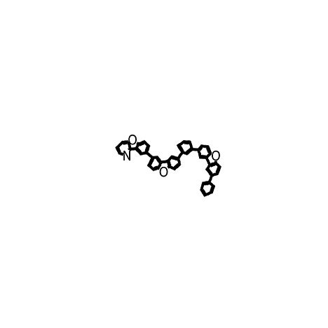 c1ccc(-c2ccc3oc4ccc(-c5cccc(-c6ccc7oc8ccc(-c9ccc%10oc%11cccnc%11c%10c9)cc8c7c6)c5)cc4c3c2)cc1